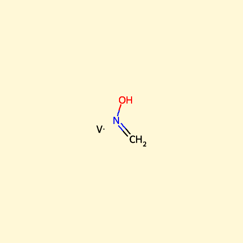 C=NO.[V]